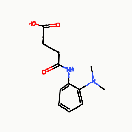 CN(C)c1ccccc1NC(=O)CCC(=O)O